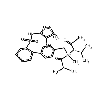 Cc1noc(NS(=O)(=O)c2ccccc2-c2ccc(C[N+](C)(C(=O)C(C)C)[C@H](C(N)=O)C(C)C)cc2)c1C